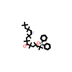 CC(C)(C)CC(C)(C)/C=C\C(C)(C)CC(C)(C)C(=O)C(C)(C)CC(C)(C)O[Si](c1ccccc1)(c1ccccc1)C(C)(C)C